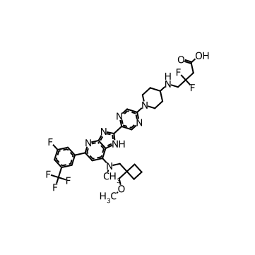 COCC1(CN(C)c2cc(-c3cc(F)cc(C(F)(F)F)c3)nc3nc(-c4cnc(N5CCC(NCC(F)(F)CC(=O)O)CC5)cn4)[nH]c23)CCC1